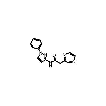 O=C(Cc1cnccn1)Nc1ccn(-c2ccccc2)n1